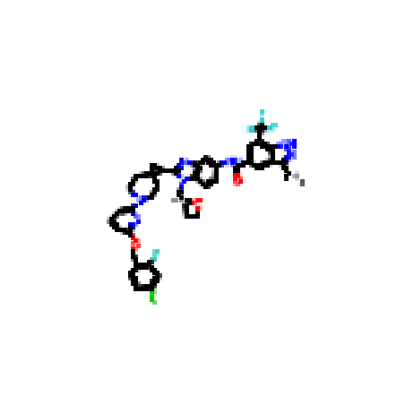 Cc1n[nH]c2c(C(F)(F)F)cc(C(=O)Nc3ccc4c(c3)nc(C3CC35CCN(c3cccc(OCc6ccc(Cl)cc6F)n3)CC5)n4C[Si@@H]3CCO3)cc12